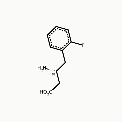 N[C@@H](CC(=O)O)Cc1ccccc1F